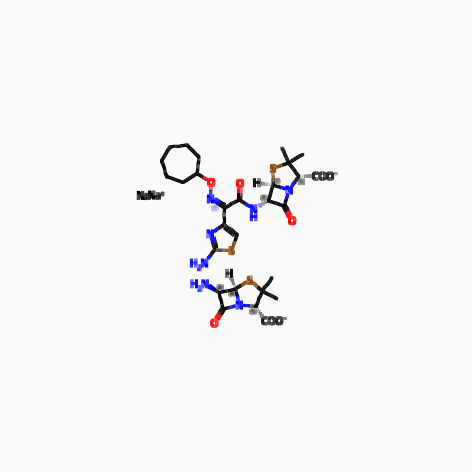 CC1(C)S[C@@H]2[C@@H](NC(=O)/C(=N\OC3CCCCCC3)c3csc(N)n3)C(=O)N2[C@H]1C(=O)[O-].CC1(C)S[C@@H]2[C@H](N)C(=O)N2[C@H]1C(=O)[O-].[Na+].[Na+]